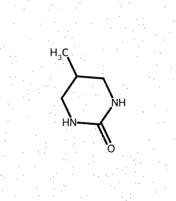 CC1CNC(=O)NC1